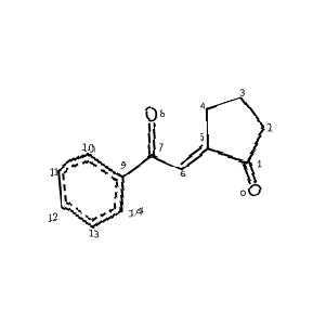 O=C1CCCC1=CC(=O)c1ccccc1